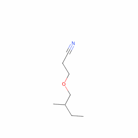 CCC(C)COCCC#N